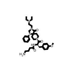 CCN(CC)CCN1CN(c2ccccc2)C2(CCN(C(=O)[C@@H](Cc3ccc(OC)cc3)NC(=O)CCCN)CC2)C1=O